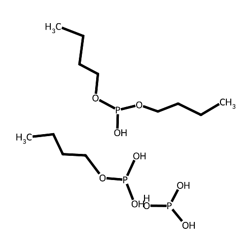 CCCCOP(O)O.CCCCOP(O)OCCCC.OP(O)O